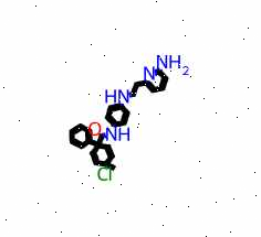 CC1(Cl)C=CC(C(=O)Nc2ccc(NCCc3cccc(N)n3)cc2)(c2ccccc2)C=C1